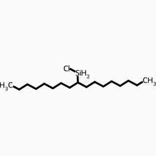 CCCCCCCCC(CCCCCCCC)[SiH2]Cl